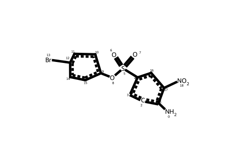 Nc1ccc(S(=O)(=O)Oc2ccc(Br)cc2)cc1[N+](=O)[O-]